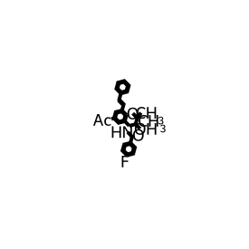 CC(=O)c1cc(C=Cc2ccccc2)c2c(c1)C(NC(=O)c1ccc(F)cc1)C(O)C(C)(C)O2